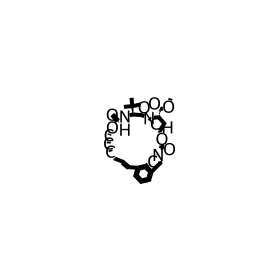 COC(=O)[C@@H]1C[C@@H]2CN1C(=O)[C@H](C(C)(C)C)NC(=O)OCCCC/C=C/c1cccc3c1CN(C3)C(=O)O2